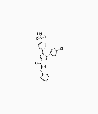 Cc1c(C(=O)NCc2ccccc2)cc(-c2ccc(Cl)cc2)n1-c1ccc(S(N)(=O)=O)cc1